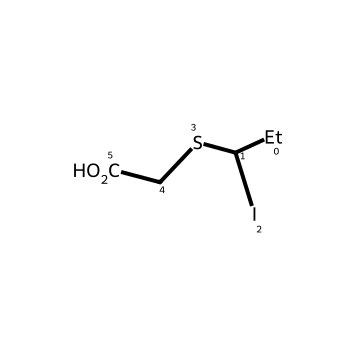 CCC(I)SCC(=O)O